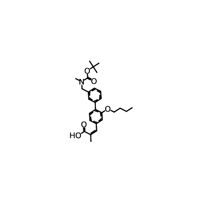 CCCCOc1cc(C=C(C)C(=O)O)ccc1-c1cccc(CN(C)C(=O)OC(C)(C)C)c1